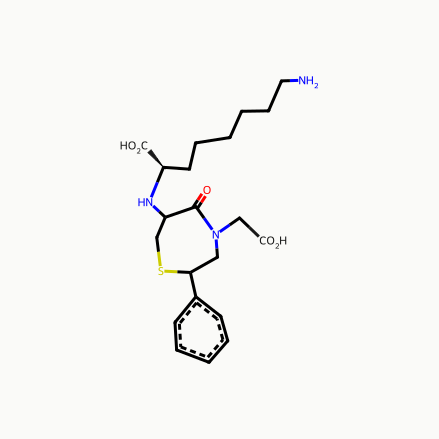 NCCCCCC[C@@H](NC1CSC(c2ccccc2)CN(CC(=O)O)C1=O)C(=O)O